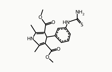 COC(=O)C1=C(C)NC(C)=C(C(=O)OC)C1c1cccc(NC(N)=S)c1